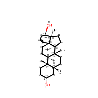 C[C@]12CC[C@@H](O)C[C@H]1CC[C@@H]1[C@@H]2CC[C@@]23C=CC[C@@H](O)[C@H]2CC[C@@H]13